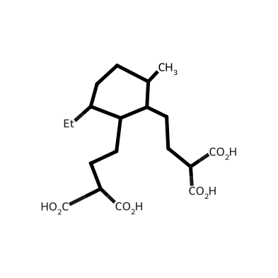 CCC1CCC(C)C(CCC(C(=O)O)C(=O)O)C1CCC(C(=O)O)C(=O)O